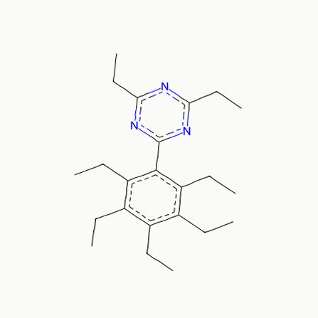 CCc1nc(CC)nc(-c2c(CC)c(CC)c(CC)c(CC)c2CC)n1